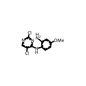 COc1ccc(Nc2nc(Cl)ncc2Cl)c(N)c1